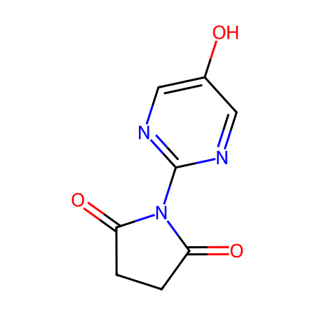 O=C1CCC(=O)N1c1ncc(O)cn1